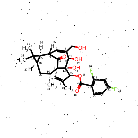 CC1=C[C@]23C(=O)[C@@H](C=C(CO)[C@@H](O)[C@]2(O)[C@H]1OC(=O)c1ccc(F)cc1F)[C@H]1[C@@H](C[C@H]3C)C1(C)C